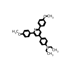 CCN(CC)c1ccc(-c2cc(-c3ccc(OC)cc3)nc(-c3ccc(OC)cc3)c2)cc1